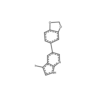 Ic1c[nH]c2ncc(-c3ccc4c(c3)OCO4)cc12